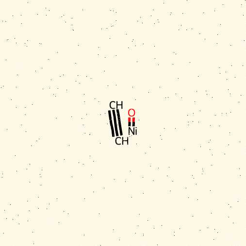 C#C.[O]=[Ni]